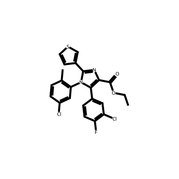 CCOC(=O)c1nc(-c2ccsc2)n(-c2cc(Cl)ccc2C)c1-c1ccc(F)c(Cl)c1